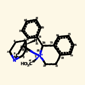 O=C(O)[N@+]1([C@H]2CN3CCC2CC3)CCc2ccccc2C1c1ccccc1